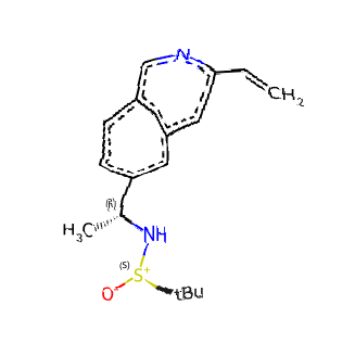 C=Cc1cc2cc([C@@H](C)N[S@+]([O-])C(C)(C)C)ccc2cn1